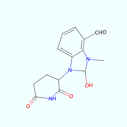 CN1c2c(C=O)cccc2N(C2CCC(=O)NC2=O)C1O